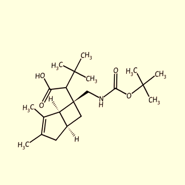 CC1=C(C)[C@@H]2[C@H](C1)C[C@@]2(CNC(=O)OC(C)(C)C)C(C(=O)O)C(C)(C)C